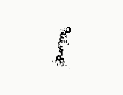 C/C(=C\c1cnn(C2CCCCO2)c(=O)c1)CN1CC2(CC(Cc3ccc(Cl)c4c(=O)n(C)ncc34)C2)C1